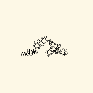 CONC(=O)c1ccc(Oc2ccc(CN3CCC(N4C(=O)N(C5CCOCC5)C[C@H]4c4ccccc4)CC3)cc2)cc1